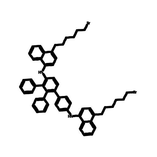 BrCCCCCCc1ccc(Nc2ccc(-c3ccc(Nc4ccc(CCCCCCBr)c5ccccc45)c(-c4ccccc4)c3-c3ccccc3)cc2)c2ccccc12